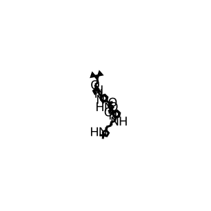 CC1(C)CCC(CCCNc2cccc(S(=O)(=O)NC(=O)c3ccc(-n4ccc(OCC5C6(CC6)C56CC6)n4)nc3)n2)N1